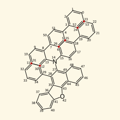 c1ccc(-c2ccc(-c3ccccc3N(c3ccc(-c4ccccc4)cc3)c3c(-c4ccccc4)c4c5ccccc5oc4c4ccccc34)cc2)cc1